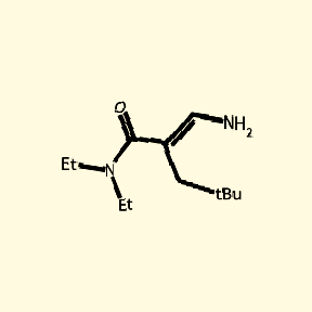 CCN(CC)C(=O)C(=CN)CC(C)(C)C